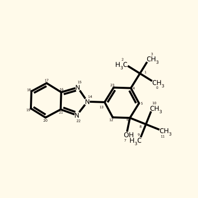 CC(C)(C)C1=CC(O)(C(C)(C)C)CC(n2nc3ccccc3n2)=C1